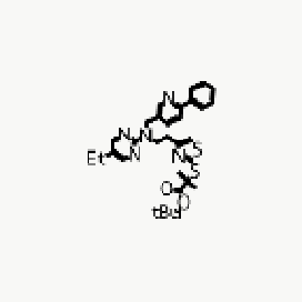 CCc1cnc(N(CCc2csc(SC(C)(C)C(=O)OC(C)(C)C)n2)Cc2ccc(-c3ccccc3)nc2)nc1